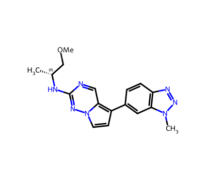 COC[C@@H](C)Nc1ncc2c(-c3ccc4nnn(C)c4c3)ccn2n1